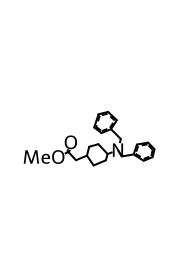 COC(=O)CC1CCC(N(Cc2ccccc2)Cc2ccccc2)CC1